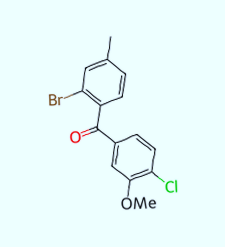 COc1cc(C(=O)c2ccc(C)cc2Br)ccc1Cl